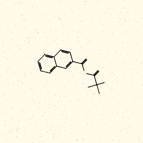 CCC(C)(C)C(=O)NC(=O)c1ccc2ccccc2c1